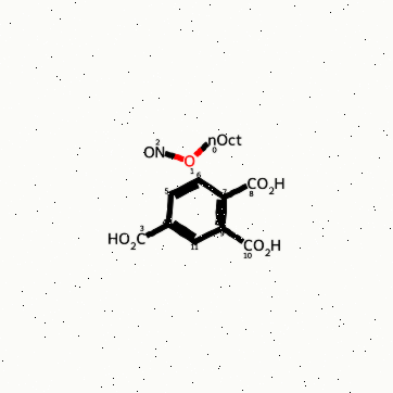 CCCCCCCCON=O.O=C(O)c1ccc(C(=O)O)c(C(=O)O)c1